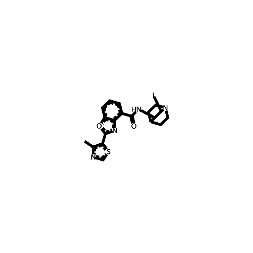 Cc1ncsc1-c1nc2c(C(=O)NC3C4CCN(CC4)C3I)cccc2o1